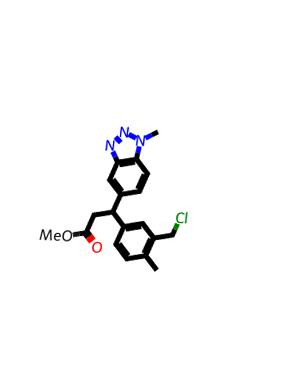 COC(=O)CC(c1ccc(C)c(CCl)c1)c1ccc2c(c1)nnn2C